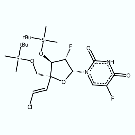 CC(C)(C)[Si](C)(C)OC[C@@]1(C=CCl)O[C@@H](n2cc(F)c(=O)[nH]c2=O)[C@@H](F)[C@@H]1O[Si](C)(C)C(C)(C)C